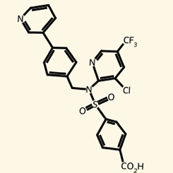 O=C(O)c1ccc(S(=O)(=O)N(Cc2ccc(-c3cccnc3)cc2)c2ncc(C(F)(F)F)cc2Cl)cc1